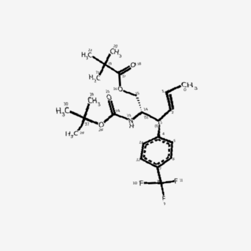 CC=C[C@@H](c1ccc(C(F)(F)F)cc1)[C@@H](COC(=O)C(C)(C)C)NC(=O)OC(C)(C)C